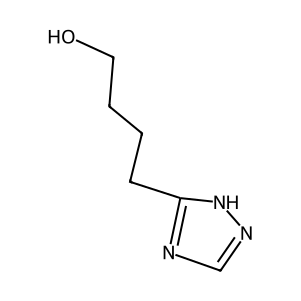 OCCCCc1ncn[nH]1